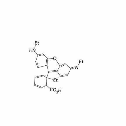 CC/N=c1/ccc2c(C3(CC)C=CC=CC3C(=O)O)c3ccc(NCC)cc3oc-2c1